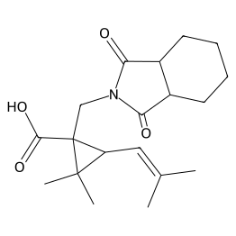 CC(C)=CC1C(C)(C)C1(CN1C(=O)C2CCCCC2C1=O)C(=O)O